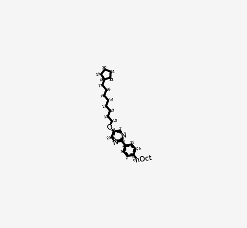 CCCCCCCCc1ccc(-c2ncc(OCCCCCCCCC3CCCC3)cn2)cc1